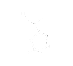 CCOC(=O)c1cnnc(Cl)c1